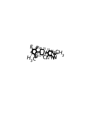 COc1ccc(F)c(F)c1C1CCN(c2ccn3c(C)nnc3c2Cl)CC1